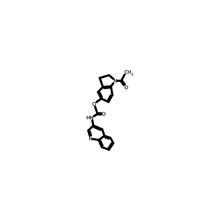 CC(=O)N1CCc2cc(OC(=O)Nc3cnc4ccccc4c3)ccc21